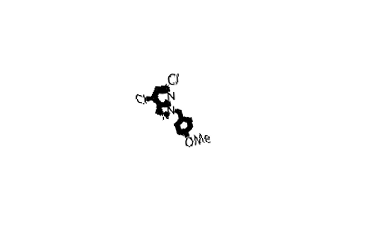 COc1ccc(Cn2ncc3c(Cl)cc(Cl)nc32)cc1